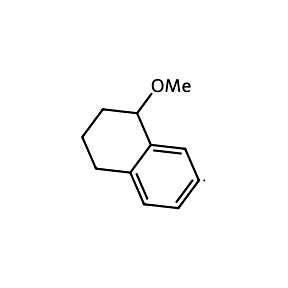 COC1CCCc2cc[c]cc21